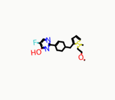 COCCS1(C)C=CC=C1CC1CC=C(c2ncc(F)c(O)n2)CC1